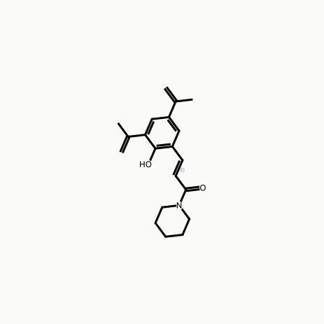 C=C(C)c1cc(/C=C/C(=O)N2CCCCC2)c(O)c(C(=C)C)c1